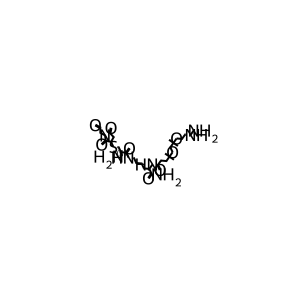 CC(C)(CCC(=O)NC(CCCCNC(=O)[C@H](N)CSC1CC(=O)N(CC=O)C1=O)C(N)=O)OCC(C)(C)OCCNN